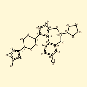 Cc1nc(C2CCC(c3nnc4n3-c3ccc(Cl)cc3CN(C3CCCC3)C4)CC2)no1